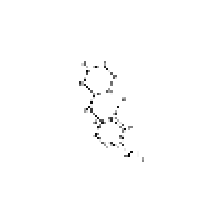 Cc1ccc(OC2CCCOC2)c(I)c1